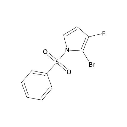 O=S(=O)(c1ccccc1)n1ccc(F)c1Br